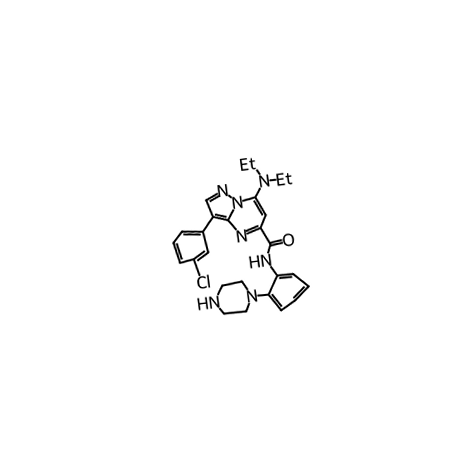 CCN(CC)c1cc(C(=O)Nc2ccccc2N2CCNCC2)nc2c(-c3cccc(Cl)c3)cnn12